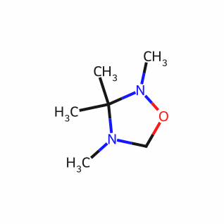 CN1CON(C)C1(C)C